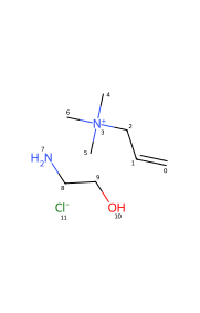 C=CC[N+](C)(C)C.NCCO.[Cl-]